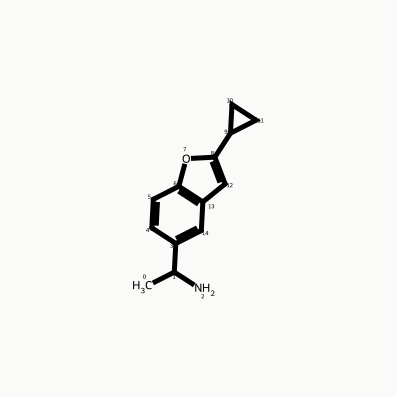 CC(N)c1ccc2oc(C3CC3)cc2c1